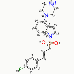 O=S(=O)(CC=Cc1ccc(F)cc1)n1ccc2c(N3CCNCC3)cccc21